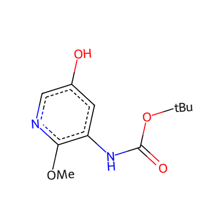 COc1ncc(O)cc1NC(=O)OC(C)(C)C